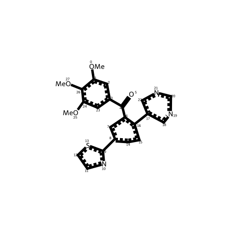 COc1cc(C(=O)c2cc(-c3nccs3)ccc2-c2cncnc2)cc(OC)c1OC